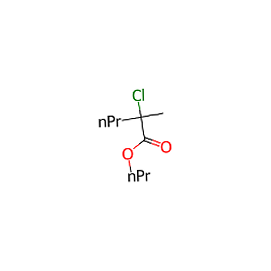 CCCOC(=O)C(C)(Cl)CCC